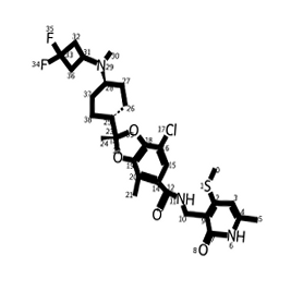 CSc1cc(C)[nH]c(=O)c1CNC(=O)c1cc(Cl)c2c(c1C)O[C@](C)([C@H]1CC[C@H](N(C)C3CC(F)(F)C3)CC1)O2